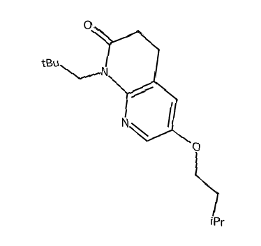 CC(C)CCOc1cnc2c(c1)CCC(=O)N2CC(C)(C)C